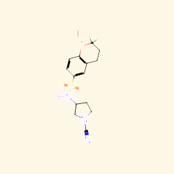 CC1(C)CCc2cc(S(=O)(=O)NC3CCN(C#N)C3)ccc2O1